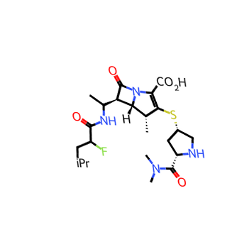 CC(C)CC(F)C(=O)NC(C)[C@H]1C(=O)N2C(C(=O)O)=C(S[C@@H]3CN[C@H](C(=O)N(C)C)C3)[C@H](C)[C@H]12